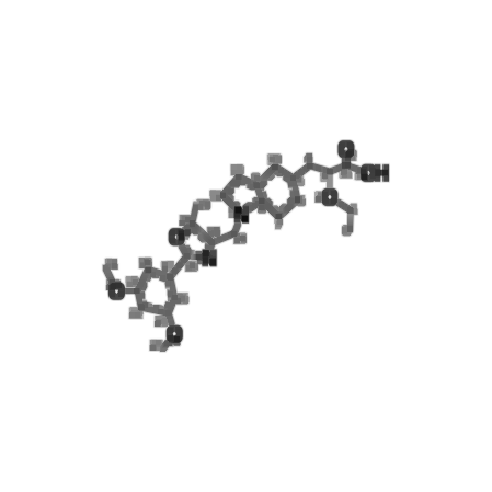 CCOC(Cc1ccc2c(ccn2Cc2nc(-c3cc(OC)cc(OC)c3)oc2C)c1)C(=O)O